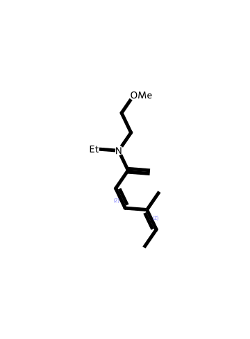 C=C(/C=C\C(C)=C/C)N(CC)CCOC